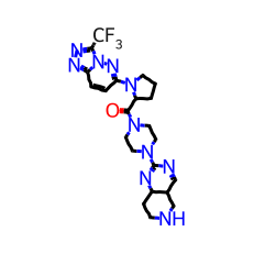 O=C(C1CCCN1c1ccc2nnc(C(F)(F)F)n2n1)N1CCN(C2=NC3CCNCC3C=N2)CC1